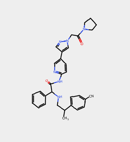 CC(CNC(C(=O)Nc1ccc(-c2cnn(CC(=O)N3CCCC3)c2)cn1)c1ccccc1)c1ccc(C#N)cc1